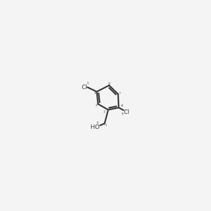 O[CH]c1cc(Cl)ccc1Cl